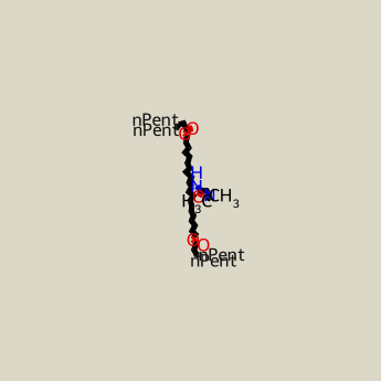 CCCCCC(CCCCC)CC(=O)OCCCCCCCCCCC(CCCCCCCCCCOC(=O)CC(CCCCC)CCCCC)NC(=O)CN(C)C